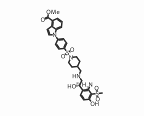 COC(=O)c1cccc2c1ccn2-c1ccc(S(=O)(=O)N2CCC(CNC[C@H](O)c3ccc(O)c(S(C)(=O)=O)c3N)CC2)cc1